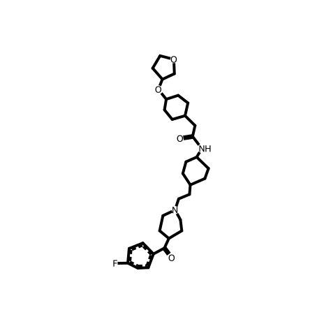 O=C(CC1CCC(OC2CCOC2)CC1)NC1CCC(CCN2CCC(C(=O)c3ccc(F)cc3)CC2)CC1